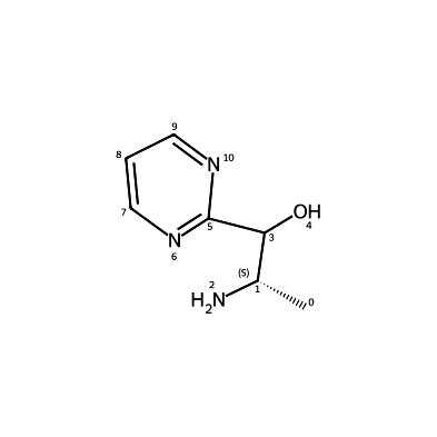 C[C@H](N)C(O)c1ncccn1